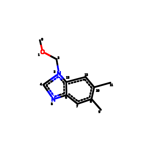 COCn1cnc2cc(C)c(C)cc21